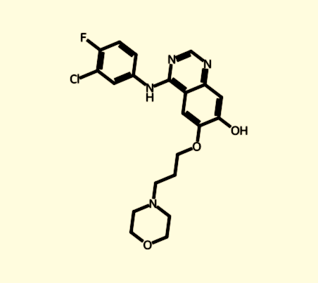 Oc1cc2ncnc(Nc3ccc(F)c(Cl)c3)c2cc1OCCCN1CCOCC1